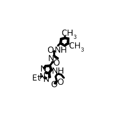 CCn1ncc2c(NC3CCOC(=O)C3)c(-c3nc(C(=O)NCc4cc(C)cc(C)c4)co3)cnc21